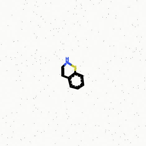 [c]1cccc2c1SNC=C2